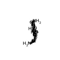 CC(C)(N)C(=O)N1CCN(C(=O)Nc2ccn(-c3ccc(OCCN4CC5C(CN)C5C4)cc3)c(=O)n2)CC1.Cl